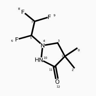 CC1(C)CN(C(F)C(F)F)NC1=O